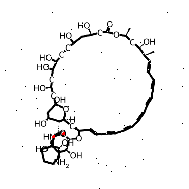 C[C@H]1C[C@H](O)[C@@H](C)/C=C/C=C/C=C/C=C/C=C/C=C/C=C/C(O[C@@H]2OC[C@@H](O)[C@H](N)[C@@H]2O)C[C@@H]2OC(O)(C[C@@H](O)CC(O)C(O)CCC(O)C[C@@H](O)CC(=O)O1)C[C@H](O)[C@H]2C(=O)NC1CCCC[C@H]1O